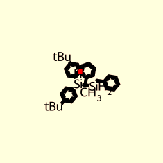 CC(C)(C)c1ccc([SiH](c2ccc(C(C)(C)C)cc2)C(C)([SiH2]Cc2ccccc2)c2ccccc2)cc1